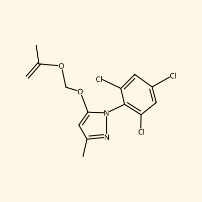 C=C(C)OCOc1cc(C)nn1-c1c(Cl)cc(Cl)cc1Cl